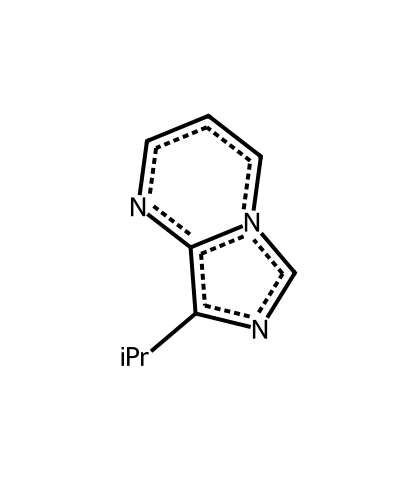 CC(C)c1ncn2cccnc12